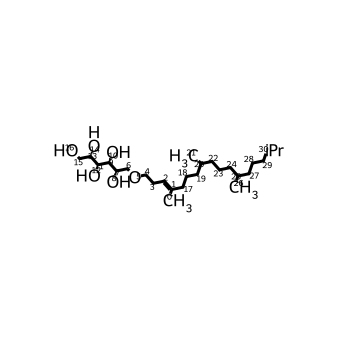 CC(=CCCOC[C@@H](O)[C@H](O)[C@@H](O)[C@@H](O)CO)CCCC(C)CCCC(C)CCCC(C)C